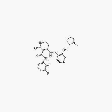 Cc1c(F)cccc1NC(=S)C1=C(NCc2ccncc2OC[C@@H]2CCCN2C)CCNC1=O